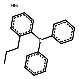 Br.CCCc1ccccc1P(c1ccccc1)c1ccccc1